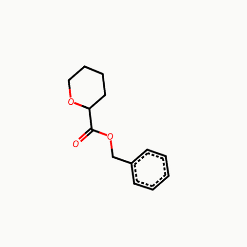 O=C(OCc1ccccc1)C1CCCCO1